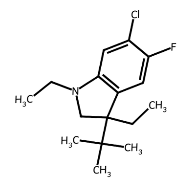 CCN1CC(CC)(C(C)(C)C)c2cc(F)c(Cl)cc21